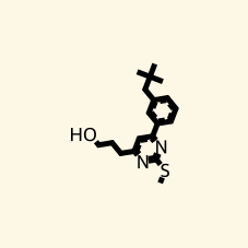 CSc1nc(CCCO)cc(-c2cccc(CC(C)(C)C)c2)n1